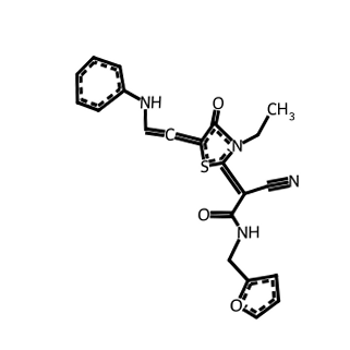 CCn1c(=O)c(=C=CNc2ccccc2)s/c1=C(/C#N)C(=O)NCc1ccco1